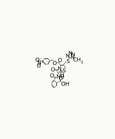 Cn1nnnc1SCC1=C(C(=O)OCc2ccc([N+](=O)[O-])cc2)N2C(=O)C(NC(=O)c3ccccc3C(=O)O)[C@@H]2SC1